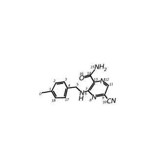 Cc1ccc(CNc2nc(C#N)cnc2C(N)=O)cc1